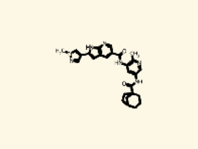 Cc1ncc(NC(=O)C23CCCC(CC2)C3)cc1NC(=O)c1cnc2[nH]c(-c3cnn(C)c3)cc2c1